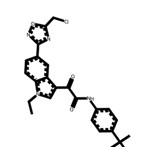 CCn1cc(C(=O)C(=O)Nc2ccc(C(C)(C)C)cc2)c2cc(-c3noc(CCl)n3)ccc21